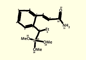 CCC(c1ccccc1/C=C/C(N)=O)[Si](OC)(OC)OC